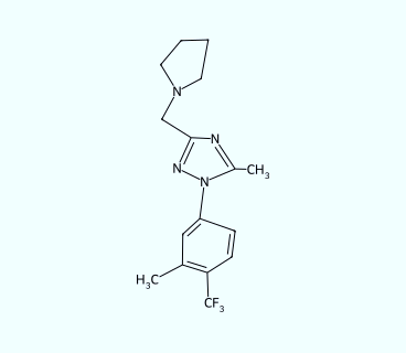 Cc1cc(-n2nc(CN3CCCC3)nc2C)ccc1C(F)(F)F